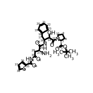 CC(C)(C)OC(=O)[C@@H]1CCCN1C(=O)C(O)C(Cc1ccccc1)NC(=O)[C@@H](N)CC(=O)NC(=O)c1cccs1